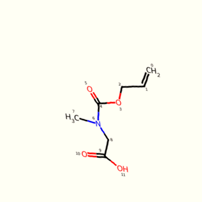 C=CCOC(=O)N(C)CC(=O)O